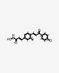 O=C(C=Cc1ccc(C=CC(=O)c2ccc(Cl)cc2)c(F)c1)NO